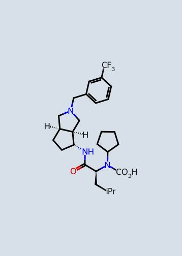 CC(C)C[C@@H](C(=O)N[C@@H]1CC[C@H]2CN(Cc3cccc(C(F)(F)F)c3)C[C@H]21)N(C(=O)O)C1CCCC1